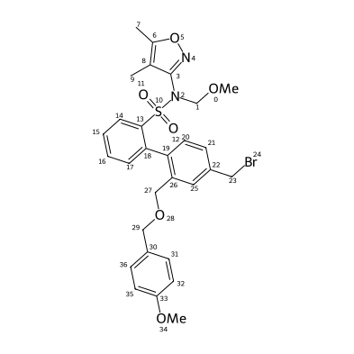 COCN(c1noc(C)c1C)S(=O)(=O)c1ccccc1-c1ccc(CBr)cc1COCc1ccc(OC)cc1